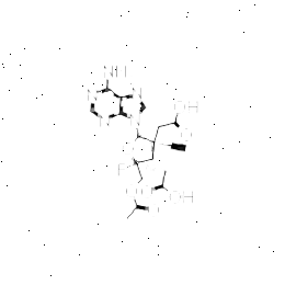 C#C[C@]1(CC(=O)O)[C@H](n2cnc3c(N)ncnc32)O[C@@](F)(COC(C)=O)[C@H]1CC(=O)O